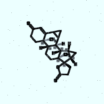 C[C@]12CCC(=O)C=C1C1CC1[C@H]1[C@@H]3[C@@H]4C[C@@H]4[C@@]4(CCC(=O)O4)[C@@]3(C)CC[C@@H]12